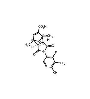 C[C@@]12C=C(C(=O)O)[C@@](C)(O1)[C@H]1C(=O)N(c3ccc(C#N)c(C(F)(F)F)c3F)C(=O)[C@H]12